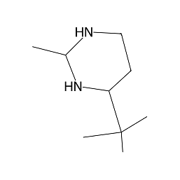 CC1NCCC(C(C)(C)C)N1